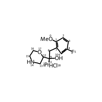 COc1ccc(F)cc1CC(O)(C(C)C)C1CNCCO1.Cl